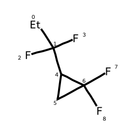 [CH2]CC(F)(F)C1CC1(F)F